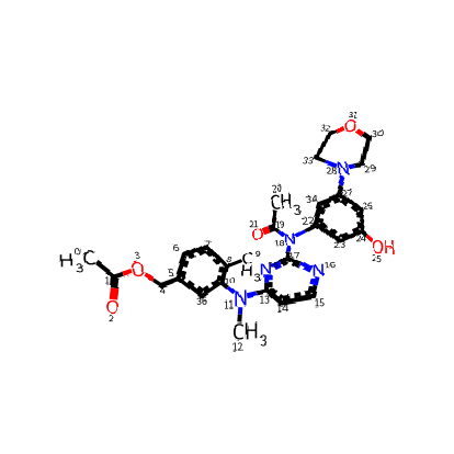 CC(=O)OCc1ccc(C)c(N(C)c2ccnc(N(C(C)=O)c3cc(O)cc(N4CCOCC4)c3)n2)c1